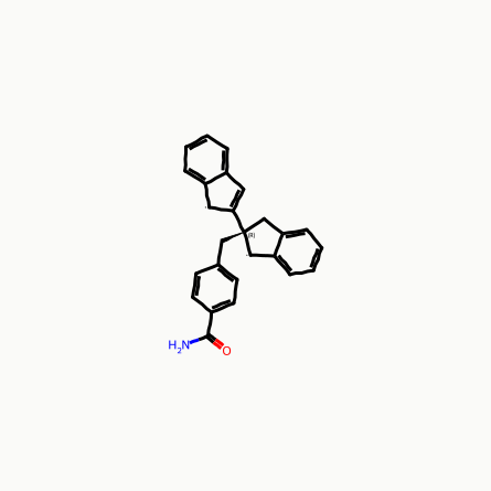 NC(=O)c1ccc(C[C@]2(C3=Cc4ccccc4[CH]3)[CH]c3ccccc3C2)cc1